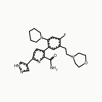 NC(=O)c1nc(-c2cn[nH]c2)ccc1-c1cc(CCN2CCOCC2)c(F)cc1N1CCCCC1